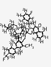 [2H]c1c([2H])c(F)c(F)c(C([2H])([2H])Sc2c([2H])c(=O)c3c([2H])c([2H])c([2H])c([2H])c3n2CC(=O)N(Cc2c([2H])c([2H])c(-c3c([2H])c([2H])c(C(F)(F)F)c([2H])c3[2H])c([2H])c2C)C2([2H])C([2H])([2H])C([2H])([2H])N(CC([2H])([2H])OC([2H])([2H])[2H])C([2H])([2H])C2([2H])[2H])c1[2H]